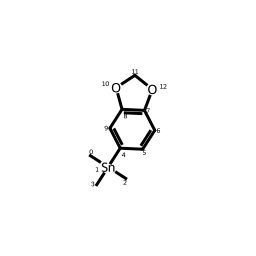 [CH3][Sn]([CH3])([CH3])[c]1ccc2c(c1)OCO2